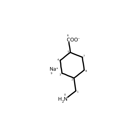 NCC1CCC(C(=O)[O-])CC1.[Na+]